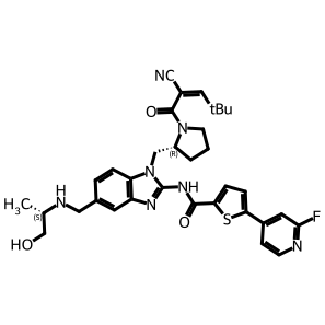 C[C@@H](CO)NCc1ccc2c(c1)nc(NC(=O)c1ccc(-c3ccnc(F)c3)s1)n2C[C@H]1CCCN1C(=O)C(C#N)=CC(C)(C)C